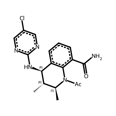 CC(=O)N1c2c(C(N)=O)cccc2[C@H](Nc2ncc(Cl)cn2)[C@@H](C)[C@@H]1C